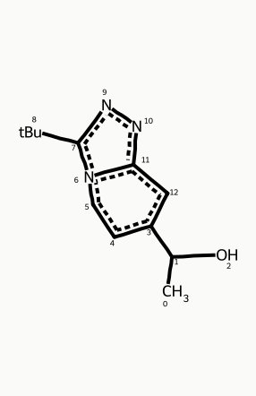 CC(O)c1ccn2c(C(C)(C)C)nnc2c1